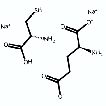 N[C@@H](CCC(=O)[O-])C(=O)[O-].N[C@@H](CS)C(=O)O.[Na+].[Na+]